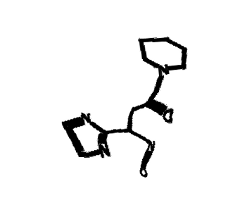 O=NC(CC(=O)N1CCCCC1)C1=NC=C=N1